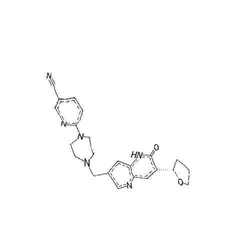 N#Cc1ccc(N2CCN(Cc3cnc4cc([C@@H]5CCCO5)c(=O)[nH]c4c3)CC2)nc1